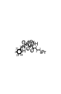 [CH2][C@H](C)CCCC(=O)N(O)C(=O)N(CCC)C(=O)NCc1ccccc1